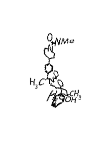 CNC(=O)N1CCC(c2ccc([C@H](C)N3CCC(CC(C)(C)O)(c4ccccc4)OC3=O)cc2)CC1